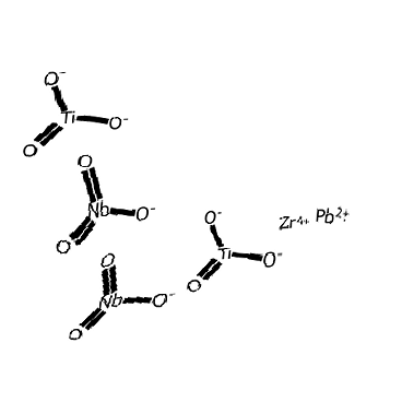 [O]=[Nb](=[O])[O-].[O]=[Nb](=[O])[O-].[O]=[Ti]([O-])[O-].[O]=[Ti]([O-])[O-].[Pb+2].[Zr+4]